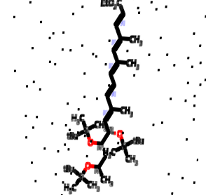 CCOC(=O)/C=C/C(C)=C/C(C)=C/C=C/C(C)=C/[C@H](O[Si](C)(C)C(C)(C)C)[C@H](C[C@@H](C)O[Si](C)(C)C(C)(C)C)O[Si](C)(C)C(C)(C)C